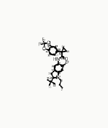 CCCN1c2cc(F)c(NC(=O)C3(c4ccc5c(c4)OC(F)(F)O5)CC3)cc2CC1C(C)(C)C